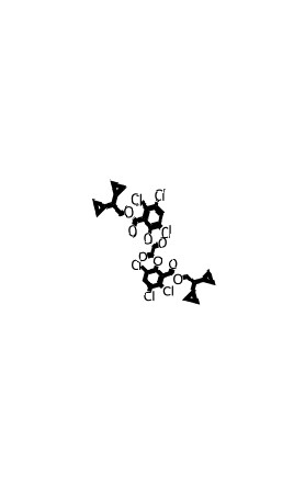 O=C(Oc1c(Cl)cc(Cl)c(Cl)c1C(=O)OCC(C1CC1)C1CC1)C(=O)Oc1c(Cl)cc(Cl)c(Cl)c1C(=O)OCC(C1CC1)C1CC1